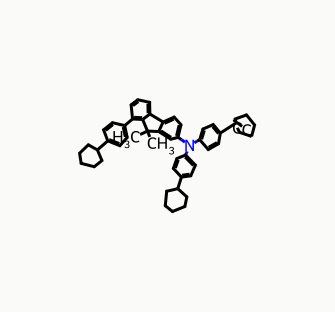 CC1(C)c2cc(N(c3ccc(C4CCCCC4)cc3)c3ccc(C4CC5CCC4CC5)cc3)ccc2-c2cccc(-c3ccc(C4CCCCC4)cc3)c21